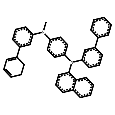 CN(c1ccc(N(c2cccc(-c3ccccc3)c2)c2cccc3ccccc23)cc1)c1cccc(C2=CC=CCC2)c1